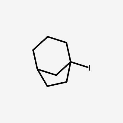 IC12CCCC(CC1)C2